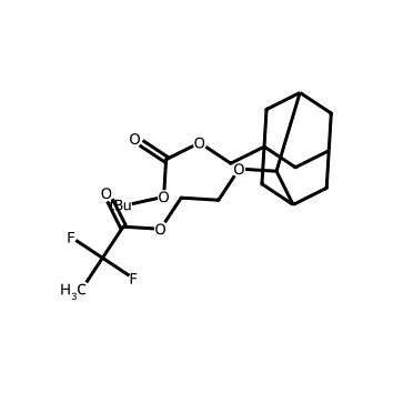 CC(C)(C)OC(=O)OCC12CC3CC(C1)C(OCCOC(=O)C(C)(F)F)C(C3)C2